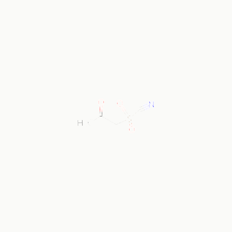 CC(=O)CS(=O)(=O)C#N